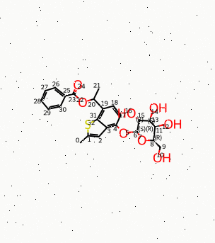 Cc1cc2c(O[C@@H]3O[C@H](CO)[C@H](O)[C@H](O)[C@H]3O)ccc(C(C)OC(=O)c3ccccc3)c2s1